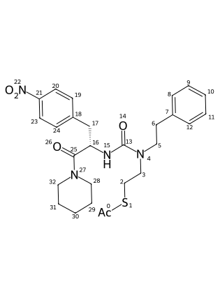 CC(=O)SCCN(CCc1ccccc1)C(=O)N[C@@H](Cc1ccc([N+](=O)[O-])cc1)C(=O)N1CCCCC1